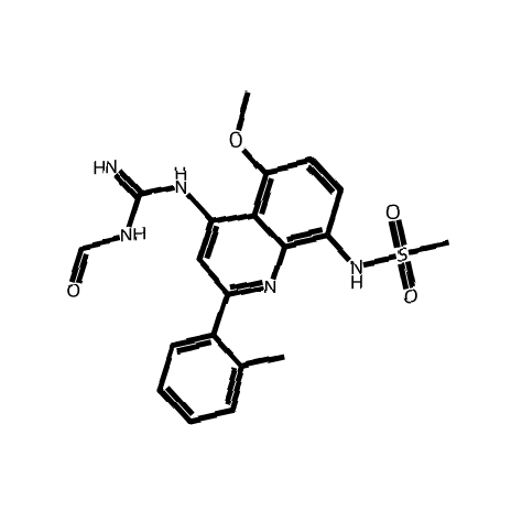 COc1ccc(NS(C)(=O)=O)c2nc(-c3ccccc3C)cc(NC(=N)NC=O)c12